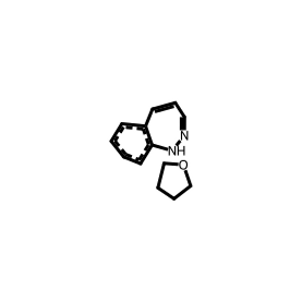 C1=Cc2ccccc2NN=C1.C1CCOC1